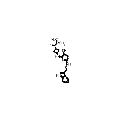 CN(C)C(=O)[C@H]1C[C@@H](Nc2nc(NCCc3c[nH]c4ccccc34)ncc2C#N)C1